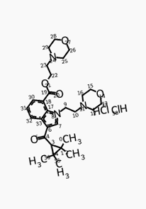 CC1(C)C(C(=O)c2cn(CCN3CCOCC3)c3c(C(=O)OCCN4CCOCC4)cccc23)C1(C)C.Cl.Cl